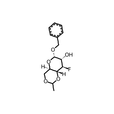 CC1OC[C@H]2O[C@H](OCc3ccccc3)[C@H](O)[C@@H](F)[C@@H]2O1